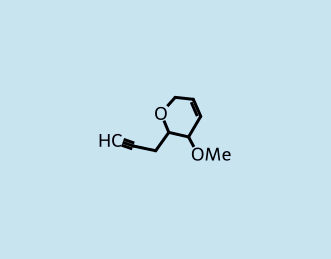 C#CCC1OCC=CC1OC